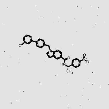 C[C@H](NC(=O)c1ccc2c(ccn2Cc2ccc(-c3cccc(Cl)c3)cc2)c1)c1ccc([N+](=O)[O-])cc1